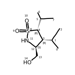 CC(C)[C@H]1[C@@H](C(C)C)S(=O)(=O)N[C@@H]1CO